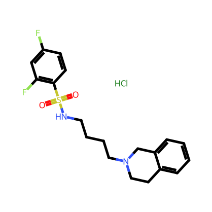 Cl.O=S(=O)(NCCCCN1CCc2ccccc2C1)c1ccc(F)cc1F